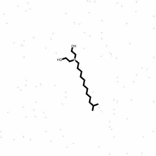 CC(C)CCCCCCCCCCN(CCO)CCO